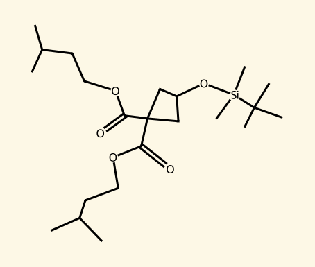 CC(C)CCOC(=O)C1(C(=O)OCCC(C)C)CC(O[Si](C)(C)C(C)(C)C)C1